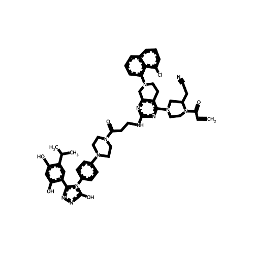 C=CC(=O)N1CCN(c2nc(NCCC(=O)N3CCN(c4ccc(-n5c(O)nnc5-c5cc(C(C)C)c(O)cc5O)cc4)CC3)nc3c2CCN(c2cccc4cccc(Cl)c24)C3)CC1CC#N